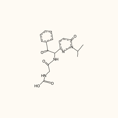 CC(C)n1nc(C(NC(=O)CNC(=O)O)C(=O)c2ccccc2)ccc1=O